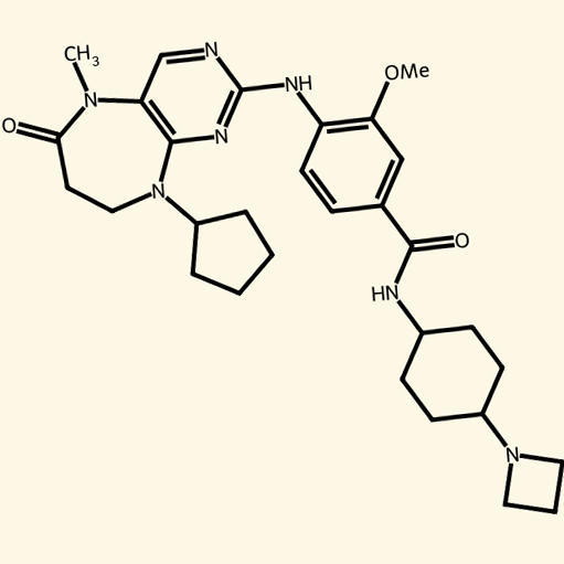 COc1cc(C(=O)NC2CCC(N3CCC3)CC2)ccc1Nc1ncc2c(n1)N(C1CCCC1)CCC(=O)N2C